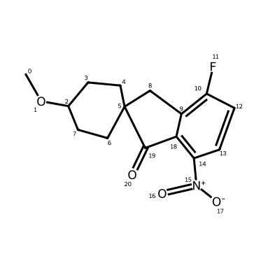 COC1CCC2(CC1)Cc1c(F)ccc([N+](=O)[O-])c1C2=O